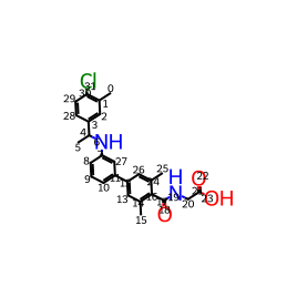 Cc1cc(C(C)Nc2cccc(-c3cc(C)c(C(=O)NCC(=O)O)c(C)c3)c2)ccc1Cl